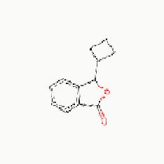 O=C1OC(C2CCC2)c2ccccc21